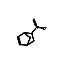 O=[N+]([O-])C1CC2C=CC1O2